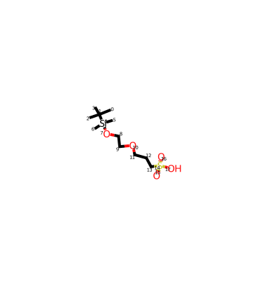 CC(C)(C)[Si](C)(C)OCCOCCCS(=O)(=O)O